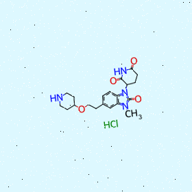 Cl.Cn1c(=O)n(C2CCC(=O)NC2=O)c2ccc(CCOC3CCNCC3)cc21